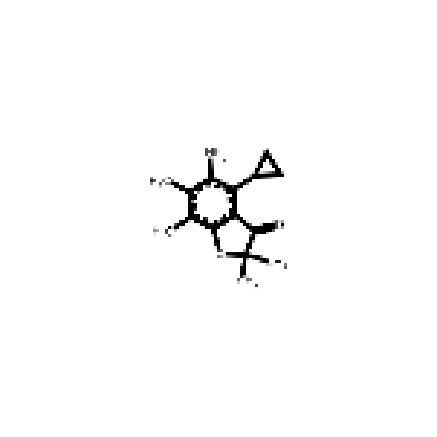 Cc1c(C)c2c(c(C3CC3)c1N)C(=O)C(C)(C)O2